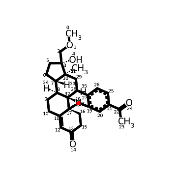 COC[C@]1(O)CC[C@H]2[C@@H]3CCC4=CC(=O)CC[C@@]45Sc4cc(C(C)=O)ccc4[C@@H](C[C@@]21C)[C@@H]35